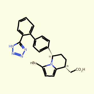 CCCCc1ccc2n1[C@H](c1ccc(-c3ccccc3-c3nnn[nH]3)cc1)CC[C@@H]2CC(=O)O